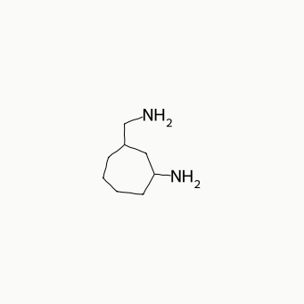 NCC1CCCCC(N)C1